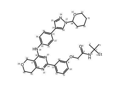 CCC(C)(C)NC(=O)COc1cccc(-c2nc3c(c(Nc4ccc(-c5cnn(C6CCCCO6)c5)cc4)n2)COCC3)c1